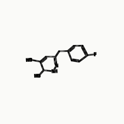 OC1=CC(Cc2ccc(F)cc2)=NNC1O